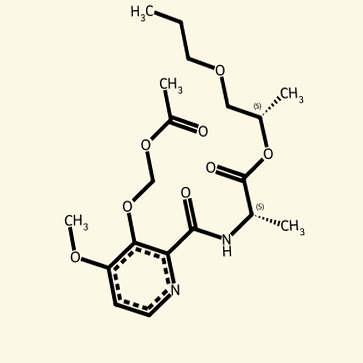 CCCOC[C@H](C)OC(=O)[C@H](C)NC(=O)c1nccc(OC)c1OCOC(C)=O